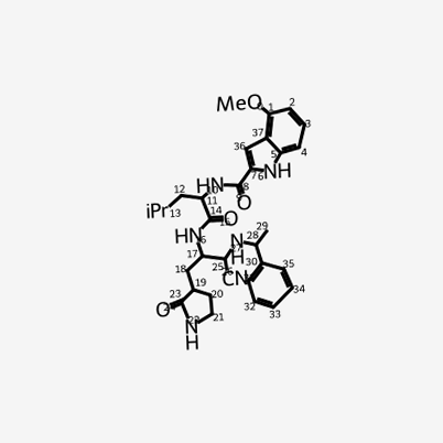 COc1cccc2[nH]c(C(=O)NC(CC(C)C)C(=O)NC(CC3CCNC3=O)C(C#N)NC(C)c3ccccc3)cc12